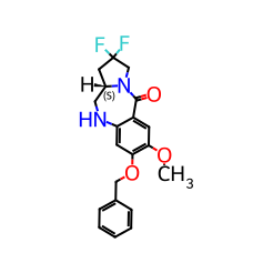 COc1cc2c(cc1OCc1ccccc1)NC[C@@H]1CC(F)(F)CN1C2=O